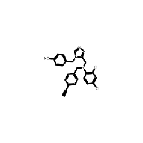 C#Cc1ccc(CN(Cc2nncn2Cc2ccc(C#N)cc2)c2ccc(Cl)cc2Cl)cc1